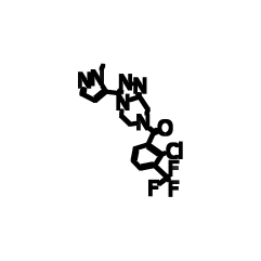 Cn1nccc1-c1nnc2n1CCN(C(=O)c1cccc(C(F)(F)F)c1Cl)C2